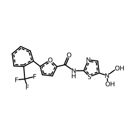 O=C(Nc1ncc(N(O)O)s1)c1ccc(-c2ccccc2C(F)(F)F)o1